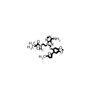 Cc1ccc(-c2cc3c(cc2Sc2nc4c(N)ncnc4n2CCNC(=O)C(C)(C)C)OCO3)o1